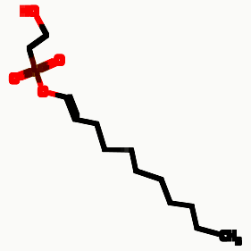 CCCCCCCCC/C=C/OS(=O)(=O)CCO